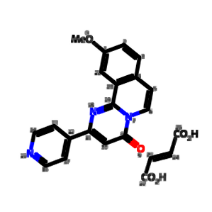 COc1ccc2ccn3c(=O)cc(-c4ccncc4)nc3c2c1.O=C(O)C=CC(=O)O